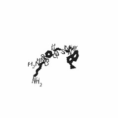 NCCCC[C@H](N)C(=O)NS(=O)(=O)c1ccc(NC(=O)CSc2nnc(Br)n2-c2ccc(C3CC3)c3ccccc23)c(Cl)c1